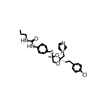 CCCNC(=O)Nc1ccc(S[C@@]2(C)CO[C@](CCc3ccc(Cl)cc3)(Cn3ccnc3)O2)cc1